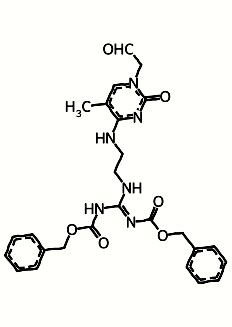 Cc1cn(CC=O)c(=O)nc1NCCN/C(=N\C(=O)OCc1ccccc1)NC(=O)OCc1ccccc1